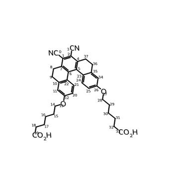 N#Cc1c(C#N)c2c(c3c1CCc1cc(OCCCCCC(=O)O)ccc1-3)-c1ccc(OCCCCCC(=O)O)cc1CC2